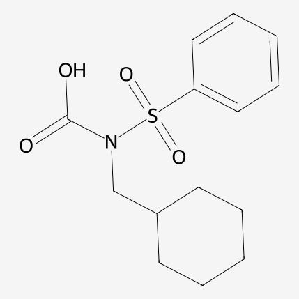 O=C(O)N(CC1CCCCC1)S(=O)(=O)c1ccccc1